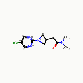 CN(C)C(=O)CC1CN(c2ncc(Br)cn2)C1